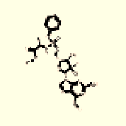 CCOc1nc(N)nc2c1ncn2[C@@H]1O[C@H](COP(=O)(N[C@H](C)C(=O)OC(C)C)Oc2ccccc2)[C@@H](O)[C@]1(F)Cl